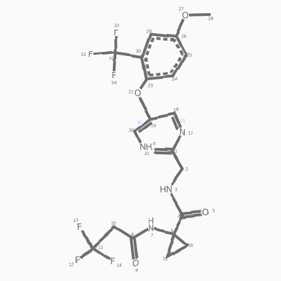 C=C(CNC(=O)C1(NC(=O)CC(F)(F)F)CC1)/N=C\C(=C/N)Oc1ccc(OC)cc1C(F)(F)F